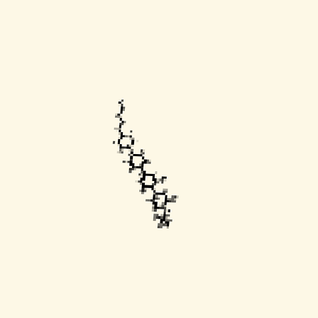 CCCCCC1CCC(c2ccc(-c3cc(F)c(-c4ccc(OC(F)(F)F)c(F)c4)c(F)c3)cc2)CC1